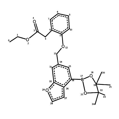 CCOC(=O)Cc1ccccc1OCc1cc(B2OC(C)(C)C(C)(C)O2)c2ccoc2c1